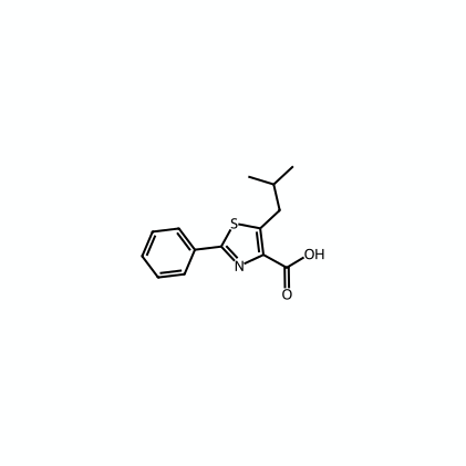 CC(C)Cc1sc(-c2ccccc2)nc1C(=O)O